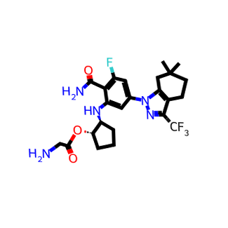 CC1(C)CCc2c(C(F)(F)F)nn(-c3cc(F)c(C(N)=O)c(N[C@H]4CCC[C@@H]4OC(=O)CN)c3)c2C1